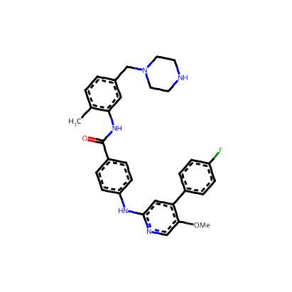 COc1cnc(Nc2ccc(C(=O)Nc3cc(CN4CCNCC4)ccc3C)cc2)cc1-c1ccc(F)cc1